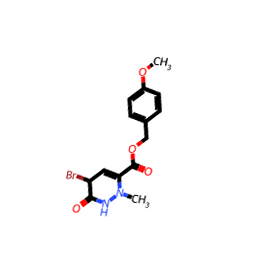 COc1ccc(COC(=O)C2=CC(Br)C(=O)NN2C)cc1